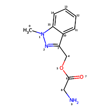 Cn1nc(COC(=O)CN)c2ccccc21